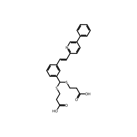 O=C(O)CCSC(SCCC(=O)O)c1cccc(C=Cc2ccc(-c3ccccc3)cn2)c1